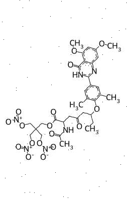 CCC(CC(=O)CC(NC(C)=O)C(=O)OCC(CO[N+](=O)[O-])(CO[N+](=O)[O-])CO[N+](=O)[O-])Oc1c(C)cc(-c2nc3cc(OC)cc(OC)c3c(=O)[nH]2)cc1C